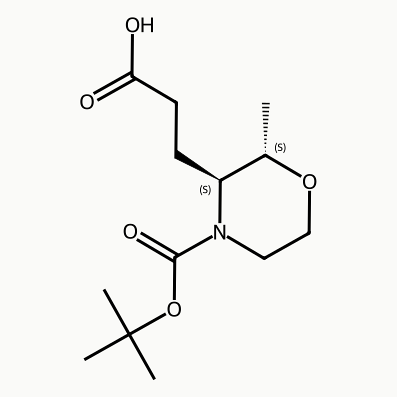 C[C@@H]1OCCN(C(=O)OC(C)(C)C)[C@H]1CCC(=O)O